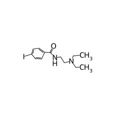 CCN(CC)CCNC(=O)c1ccc(I)cc1